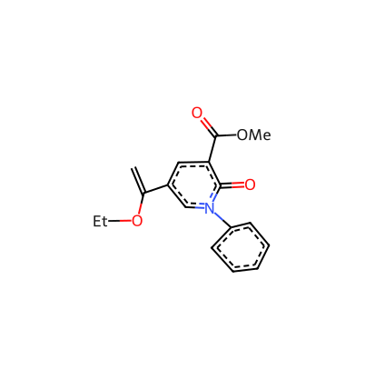 C=C(OCC)c1cc(C(=O)OC)c(=O)n(-c2ccccc2)c1